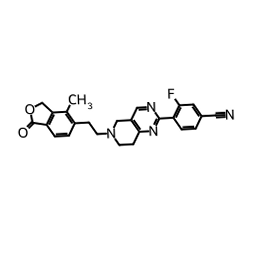 Cc1c(CCN2CCc3nc(-c4ccc(C#N)cc4F)ncc3C2)ccc2c1COC2=O